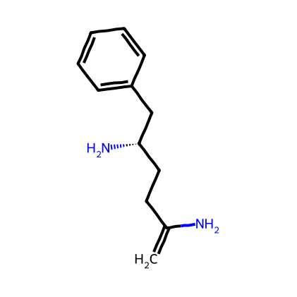 C=C(N)CC[C@H](N)Cc1ccccc1